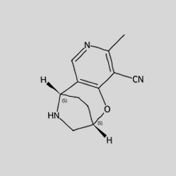 Cc1ncc2c(c1C#N)O[C@H]1CC[C@@H]2NC1